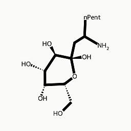 CCCCCC(N)C[C@]1(O)O[C@H](CO)[C@H](O)[C@H](O)[C@H]1O